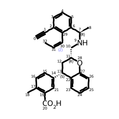 C#Cc1cccc([C@@H](C)NC[C@H]2C[C@@H](c3ccc(C)c(C(=O)O)c3)c3ccccc3O2)c1/C=C\C